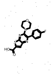 O=C(O)c1cc2nc(-c3ccc(F)cc3)c(N3CCOCC3)nc2s1